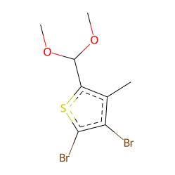 COC(OC)c1sc(Br)c(Br)c1C